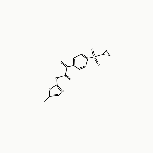 C=C(C(=O)Nc1ncc(F)s1)c1ccc(S(=O)(=O)C2CC2)cc1